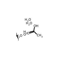 CC(=O)O.II.O.O.O.O